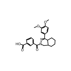 COc1ccc(C2=NN(C(=O)c3cccc(C(=O)O)c3)CC3CCCCC23)cc1OC